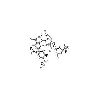 CCOC(=O)c1ccc(-c2cc(C3=C(CN4C(=O)O[C@H](c5cc(C)cc(C(F)(F)F)c5)[C@@H]4C)CC(C)(C)CC3)c(OC)cc2C(F)(F)F)cc1F